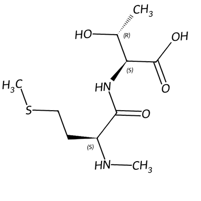 CN[C@@H](CCSC)C(=O)N[C@H](C(=O)O)[C@@H](C)O